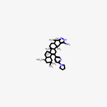 CC1(C)CC2C3=C(c4ccc(N5CCCC5)nc4)CC4C5(C)Cc6c(n[nH]c6N)C(C)(C)C5CCC4(C)C3(C)CCC2[C@H](C(=O)O)C1